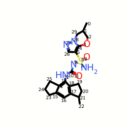 CC1COc2c(S(N)(=O)=NC(=O)Nc3c4c(cc5c3CCC5C)CCC4)cnn2C1